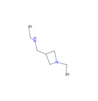 CC(C)CNCC1CN(CC(C)C)C1